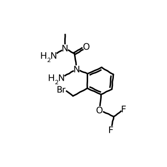 CN(N)C(=O)N(N)c1cccc(OC(F)F)c1CBr